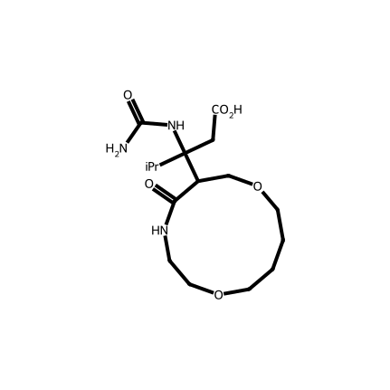 CC(C)C(CC(=O)O)(NC(N)=O)C1COCCCCOCCNC1=O